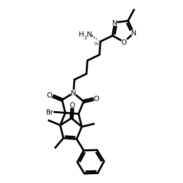 CC1=C(c2ccccc2)C2(C)C(=O)C1(C)C1(Br)C(=O)N(CCCC[C@H](N)c3nc(C)no3)C(=O)C21